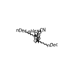 CCCCCCCCCCCCCCCCCC(=O)O[SiH](OCC(CCCCCC)SC#N)OC(=O)CCCCCCCCCCCCCCCCC